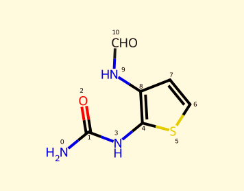 NC(=O)Nc1sccc1NC=O